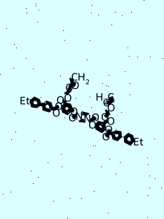 C=CC(=O)OCCOC(=O)c1cc(OC(=O)N2CCN(C(=O)Oc3ccc(OC(=O)C4CCC([C@H]5CC[C@H](CC)CC5)CC4)c(C(=O)OCCOC(=O)C=C)c3)CC2)ccc1OC(=O)C1CCC(C2CCC(CC)CC2)CC1